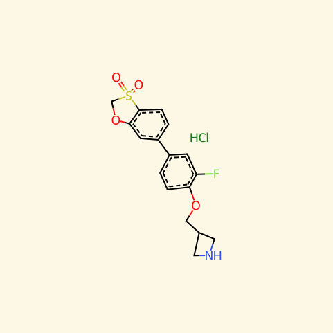 Cl.O=S1(=O)COc2cc(-c3ccc(OCC4CNC4)c(F)c3)ccc21